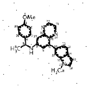 COc1ccc(C(C)Nc2cc(-c3ccc4ccn(C)c4c3)c3nccnc3c2)cc1